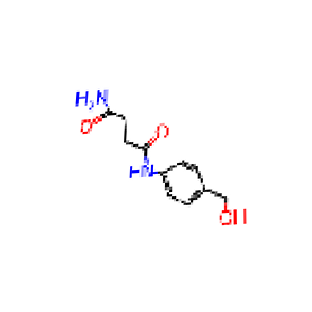 NC(=O)CCC(=O)Nc1ccc(CO)cc1